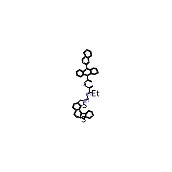 C=C(/C=C\C(=C)c1c2ccccc2c(-c2ccc3ccccc3c2)c2ccccc12)/C(=C/C=C1\Cc2ccc3ccc4sc5ccccc5c4c3c2S1)CC